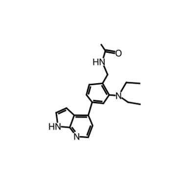 CCN(CC)c1cc(-c2ccnc3[nH]ccc23)ccc1CNC(C)=O